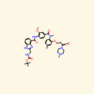 COc1cc(C(=O)N(C)c2ccc(C)cc2OCCC(=C=O)N2CCN(C)CC2)ccc1NC(=O)c1cccc2[nH]c(CNC(=O)OC(C)(C)C)nc12